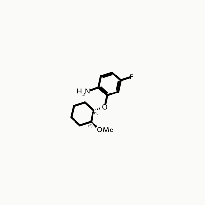 CO[C@H]1CCCC[C@@H]1Oc1cc(F)ccc1N